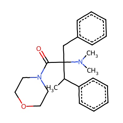 CC(c1ccccc1)C(Cc1ccccc1)(C(=O)N1CCOCC1)N(C)C